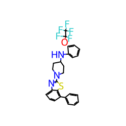 FC(F)(F)C(F)(F)Oc1ccccc1NC1CCN(c2nc3cccc(-c4ccccc4)c3s2)CC1